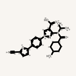 CC1CCC(C(=O)N(c2nn(-c3ccc(-c4ccc(C#N)o4)cc3)cc2C(=O)O)C(C)C)CC1